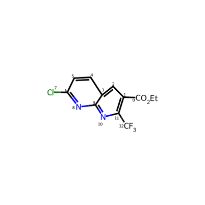 CCOC(=O)c1cc2ccc(Cl)nc2nc1C(F)(F)F